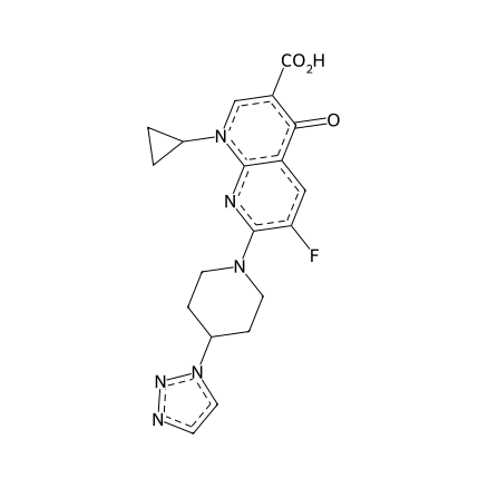 O=C(O)c1cn(C2CC2)c2nc(N3CCC(n4ccnn4)CC3)c(F)cc2c1=O